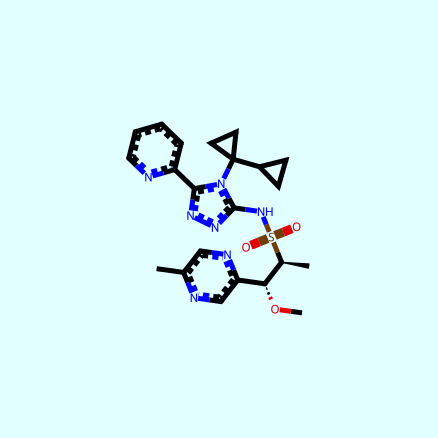 CO[C@H](c1cnc(C)cn1)[C@H](C)S(=O)(=O)Nc1nnc(-c2ccccn2)n1C1(C2CC2)CC1